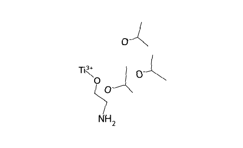 CC(C)[O-].CC(C)[O-].CC(C)[O-].NCC[O][Ti+3]